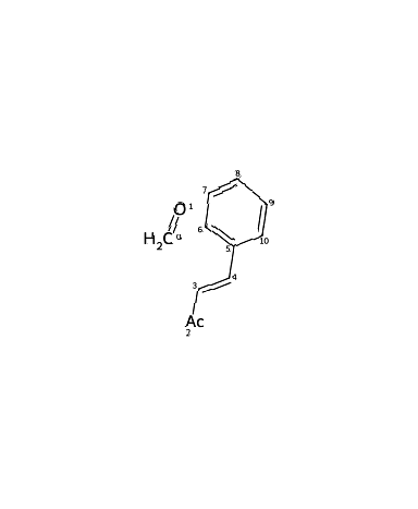 C=O.CC(=O)C=Cc1ccccc1